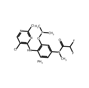 CN(C(=O)C(F)F)c1ccc(Nc2nc(Cl)ncc2Cl)c(OP(C)C)c1.P